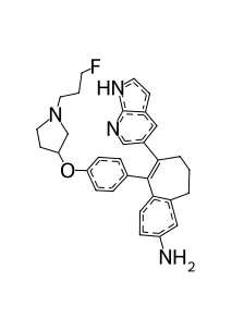 Nc1ccc2c(c1)CCCC(c1cnc3[nH]ccc3c1)=C2c1ccc(OC2CCN(CCCF)C2)cc1